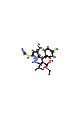 CCOC(=O)c1c(C(C)C)nn2c(SC#N)cc(CC)c2c1-c1ccc(F)cc1